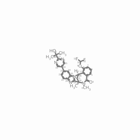 CN1C(=O)c2cccc(OC(F)F)c2[C@H]2C[C@]1(C)c1nc3ccc(-c4cnc(C(C)(C)O)nc4)cc3n12